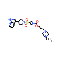 CN1CCN(CCCOC(=O)N2CC(S(=O)(=O)N3CCC(c4c[nH]c5ncccc45)CC3)C2)CC1